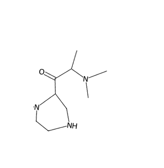 CC(C(=O)C1CNCC[N]1)N(C)C